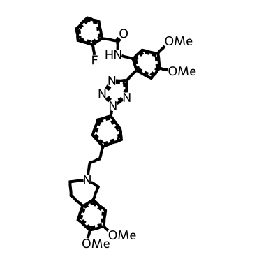 COc1cc2c(cc1OC)CN(CCc1ccc(-n3nnc(-c4cc(OC)c(OC)cc4NC(=O)c4ccccc4F)n3)cc1)CC2